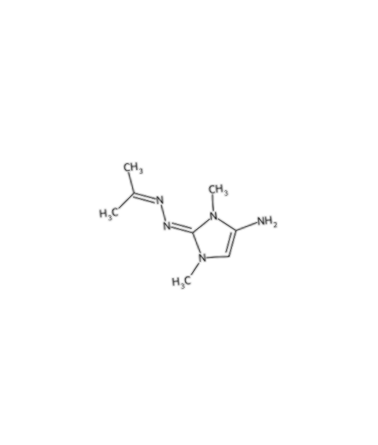 CC(C)=NN=c1n(C)cc(N)n1C